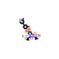 Cc1cc(-c2ccc(S(=O)(=O)[C@@H]3C[C@@H](C(=O)NC4(C#N)CC4)N(C(=O)C4(C(F)(F)F)CC4)C3)c(C)c2)ccn1